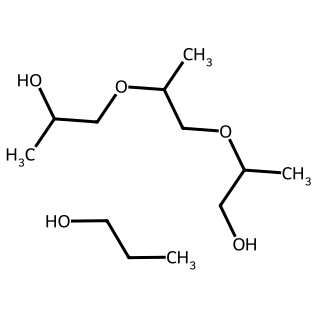 CC(O)COC(C)COC(C)CO.CCCO